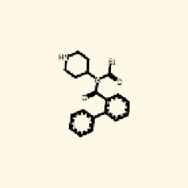 CCC(=O)N(C(=O)c1ccccc1-c1ccccc1)C1CCNCC1